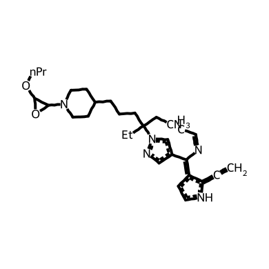 C=C=c1[nH]cc/c1=C(/N=C\C)c1cnn(C(CC)(CC#N)CCCC2CCN(C3OC3OCCC)CC2)c1